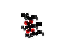 CCC(C)OC(=O)C(C)(C)C(=O)OC(C)CC.[KH]